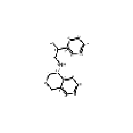 CC(CN[C@H]1CCCc2ccccc21)c1ccccc1